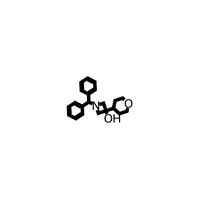 OC1(C2CCOCC2)CN(C(c2ccccc2)c2ccccc2)C1